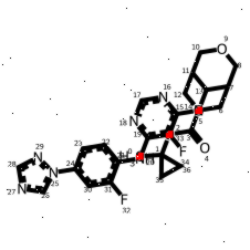 CC1(OC(=O)N2CC3COCC(C2)C3Oc2ncnc(Nc3ccc(-n4cncn4)cc3F)c2F)CC1